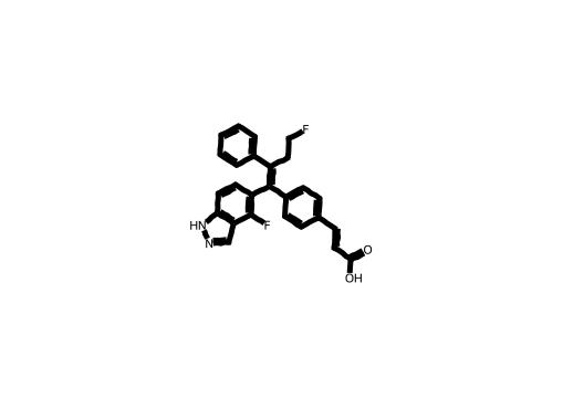 O=C(O)C=Cc1ccc(C(=C(CCF)c2ccccc2)c2ccc3[nH]ncc3c2F)cc1